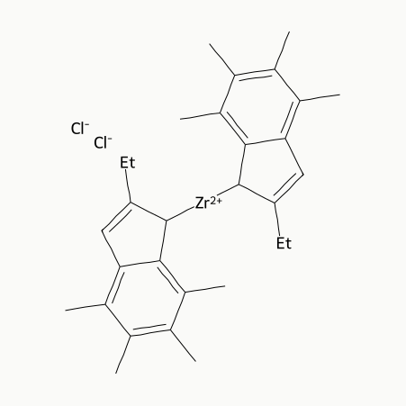 CCC1=Cc2c(C)c(C)c(C)c(C)c2[CH]1[Zr+2][CH]1C(CC)=Cc2c(C)c(C)c(C)c(C)c21.[Cl-].[Cl-]